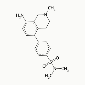 CN1CCc2c(-c3ccc(S(=O)(=O)N(C)C)cc3)ccc(N)c2C1